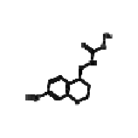 CC(C)(C)OC(=O)NS[C@H]1CCOc2cc(C(=O)O)ccc21